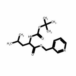 CC(C)CC(NC(=O)OC(C)(C)C)C(=O)OCc1cccnc1